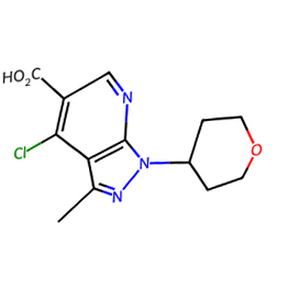 Cc1nn(C2CCOCC2)c2ncc(C(=O)O)c(Cl)c12